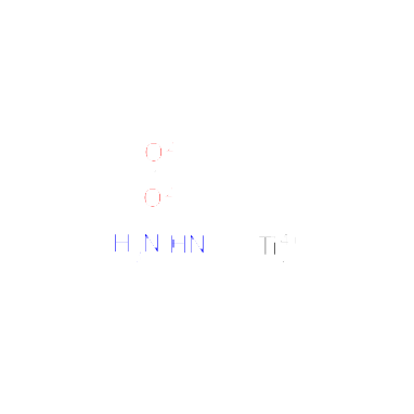 N.[NH]=[Ti+4].[O-2].[O-2]